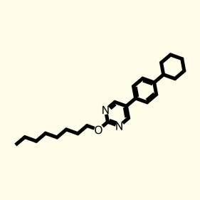 CCCCCCCCOc1ncc(-c2ccc(C3CCCCC3)cc2)cn1